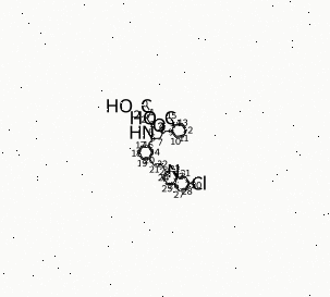 O=C(O)/C=C/C(=O)NC(CCc1ccccc1C(=O)O)c1cccc(/C=C/c2ccc3ccc(Cl)cc3n2)c1